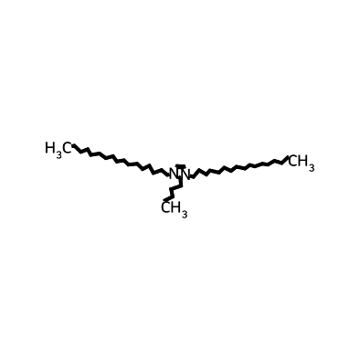 CCCCCCCCCCCCCCCCCN1C=CN(CCCCCCCCCCCCCCCCC)C1CCCCC